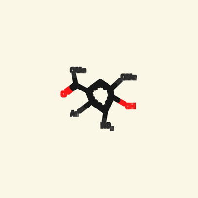 COC(=O)c1cc(OC)c(O)c([N+](=O)[O-])c1C(C)=O